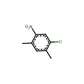 Cc1[c]c(C)c([N+](=O)[O-])cc1Cl